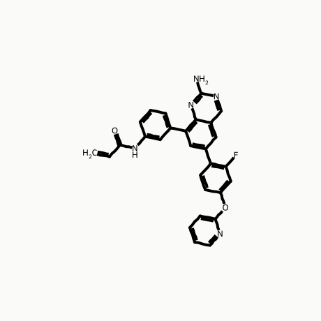 C=CC(=O)Nc1cccc(-c2cc(-c3ccc(Oc4ccccn4)cc3F)cc3cnc(N)nc23)c1